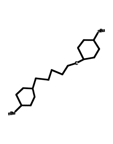 CCCCC1CCC(CCCCCCC2CCC(CCCC)CC2)CC1